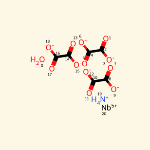 O.O=C([O-])C(=O)[O-].O=C([O-])C(=O)[O-].O=C([O-])C(=O)[O-].[NH4+].[Nb+5]